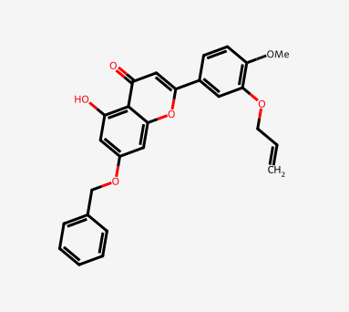 C=CCOc1cc(-c2cc(=O)c3c(O)cc(OCc4ccccc4)cc3o2)ccc1OC